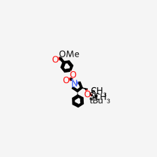 COC(=O)c1ccc(OC(=O)N2C[C@@H](CO[Si](C)(C)C(C)(C)C)[C@H](c3ccccc3)C2)cc1